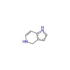 C1=Cc2[nH]ccc2CN1